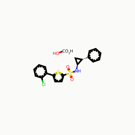 O=C(O)O.O=S(=O)(N[C@H]1C[C@@H]1c1ccccc1)c1ccc(-c2ccccc2Cl)s1